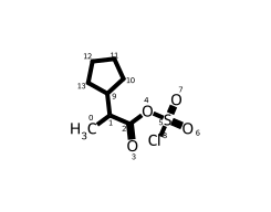 CC(C(=O)OS(=O)(=O)Cl)C1CCCC1